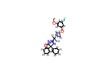 COc1cc(F)cc(OC2CN(C(C)(C)CCC(C(N)=O)(c3ccccc3)c3ccccc3)C2)c1